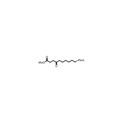 CCC[C@H](C)CCCCCCC(=O)CCC(=O)OC